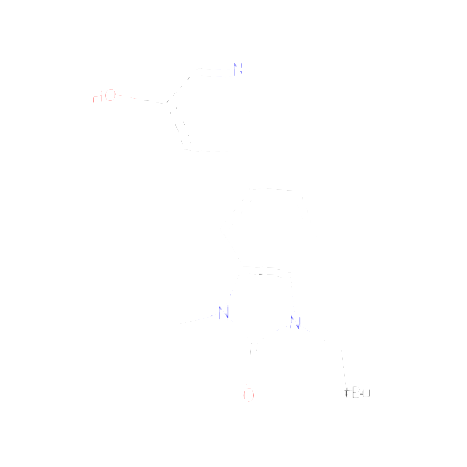 Cn1c(=O)n(CC(C)(C)C)c2ccc(-c3cncc(O)c3)cc21